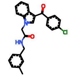 Cc1cccc(CNC(=O)Cn2cc(C(=O)c3ccc(Cl)cc3)c3ccccc32)c1